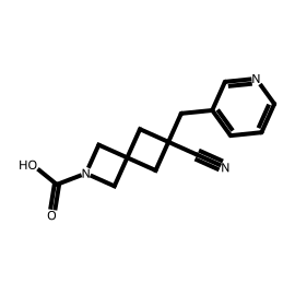 N#CC1(Cc2cccnc2)CC2(CN(C(=O)O)C2)C1